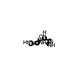 O=c1[nH]cc(-c2ccnc3[nH]ccc23)cc1-c1nc2cc(N3CCCNCC3)ccc2[nH]1